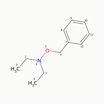 CCN(CC)OCc1ccccc1